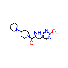 COc1ncc(CC(N)C(=O)N2CCC(N3CCCCC3)CC2)cn1